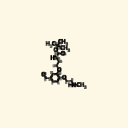 CNCCOc1ccc(C=O)cc1OCCNC(=O)OC(C)(C)C